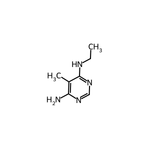 CCNc1ncnc(N)c1C